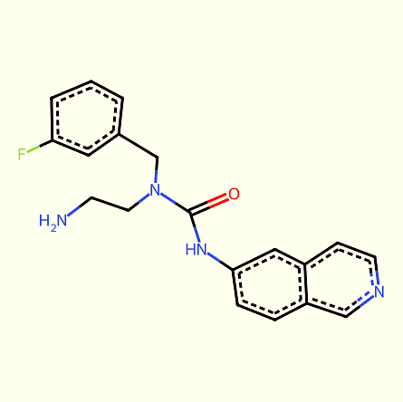 NCCN(Cc1cccc(F)c1)C(=O)Nc1ccc2cnccc2c1